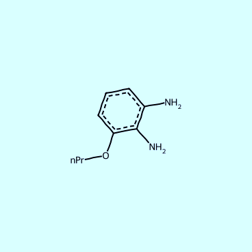 CCCOc1cccc(N)c1N